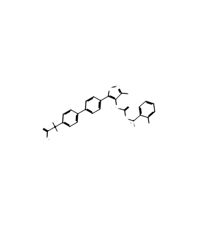 Cc1noc(-c2ccc(-c3ccc(C(C)(C)C(=O)O)cc3)cc2)c1NC(=O)O[C@H](C)c1ccccc1F